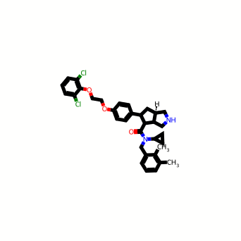 Cc1cccc(CN(C(=O)C2C(c3ccc(OCCOc4c(Cl)cccc4Cl)cc3)C[C@H]3CNCC23)C2CC2)c1C